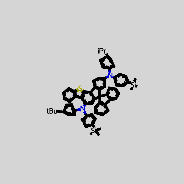 CC(C)c1ccc(N(c2ccc([Si](C)(C)C)cc2)c2ccc3c(c2)C2(c4ccccc4-c4ccccc42)c2cc(N(c4ccc(C(C)(C)C)cc4)c4ccc([Si](C)(C)C)cc4)c4c(sc5ccccc54)c2-3)cc1